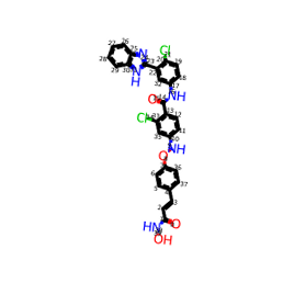 O=C(/C=C/c1ccc(ONc2ccc(C(=O)Nc3ccc(Cl)c(-c4nc5ccccc5[nH]4)c3)c(Cl)c2)cc1)NO